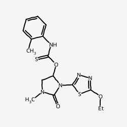 CCOc1nnc(N2C(=O)N(C)CC2OC(=S)Nc2ccccc2C)s1